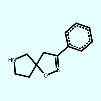 c1ccc(C2=NOC3(CCNC3)C2)cc1